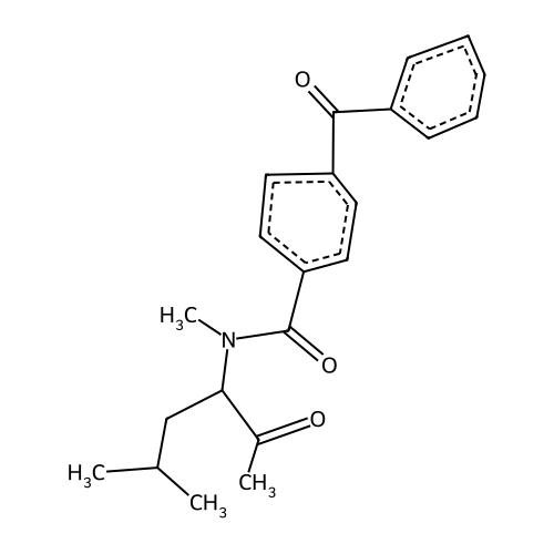 CC(=O)C(CC(C)C)N(C)C(=O)c1ccc(C(=O)c2ccccc2)cc1